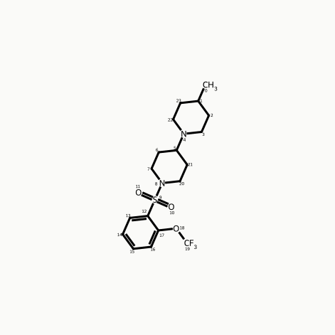 CC1CCN(C2CCN(S(=O)(=O)c3ccccc3OC(F)(F)F)CC2)CC1